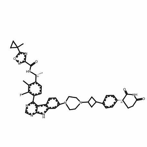 Cc1c([C@@H](C)NC(=O)c2noc(C3(C)CC3)n2)ccc(-c2ncnc3[nH]c4cc(N5CCN(C6CC(c7ccc([C@H]8CCC(=O)NC8=O)cc7)C6)CC5)ccc4c23)c1F